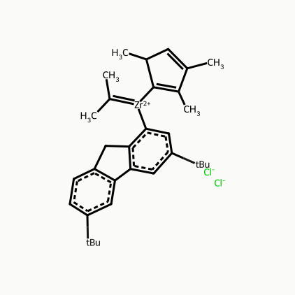 CC1=CC(C)[C]([Zr+2](=[C](C)C)[c]2cc(C(C)(C)C)cc3c2Cc2ccc(C(C)(C)C)cc2-3)=C1C.[Cl-].[Cl-]